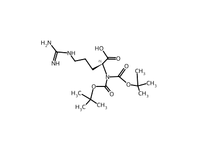 CC(C)(C)OC(=O)N(C(=O)OC(C)(C)C)[C@@H](CCCNC(=N)N)C(=O)O